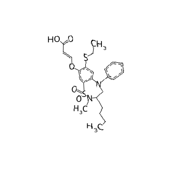 CCCCC1CN(c2ccccc2)c2cc(SCC)c(O/C=C/C(=O)O)cc2S(=O)(=O)N1C